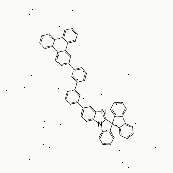 c1cc(-c2cccc(-c3ccc4c5ccccc5c5ccccc5c4c3)c2)cc(-c2ccc3c(c2)nc2n3-c3ccccc3C23c2ccccc2-c2ccccc23)c1